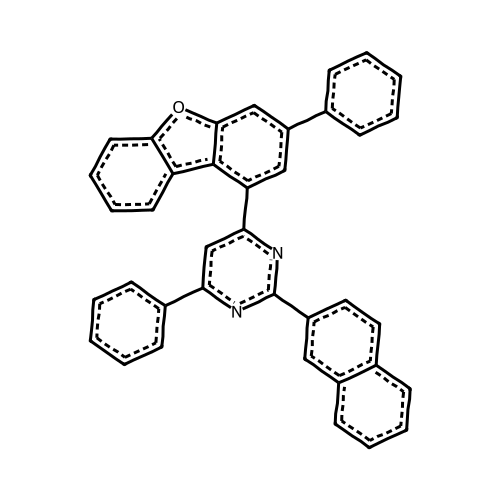 c1ccc(-c2cc(-c3cc(-c4ccccc4)nc(-c4ccc5ccccc5c4)n3)c3c(c2)oc2ccccc23)cc1